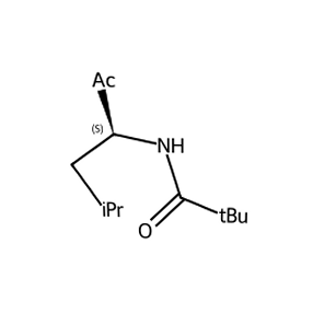 CC(=O)[C@H](CC(C)C)NC(=O)C(C)(C)C